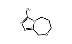 CC(C)(C)c1nnc2n1CCCOC2